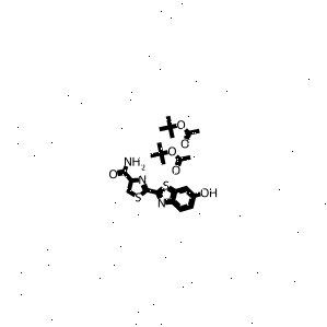 CC(=O)OC(C)(C)C.CC(=O)OC(C)(C)C.NC(=O)C1CSC(c2nc3ccc(O)cc3s2)=N1